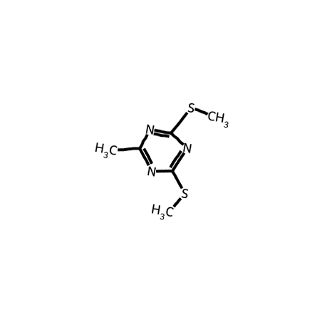 CSc1nc(C)nc(SC)n1